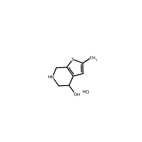 Cc1cc2c(s1)CNCC2O.Cl